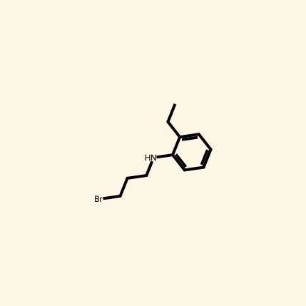 CCc1ccccc1NCCCBr